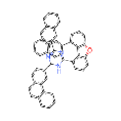 c1ccc2cc(C3=NC(c4ccc5ccc6ccccc6c5c4)NC(c4cccc5oc6cccc(-c7ccc8ccccc8c7)c6c45)=N3)ccc2c1